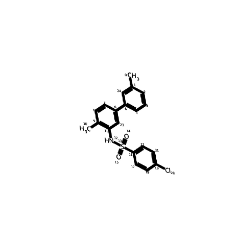 Cc1cccc(-c2ccc(C)c(NS(=O)(=O)c3ccc(Cl)cc3)c2)c1